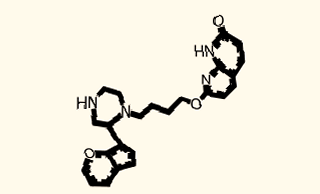 O=c1ccc2ccc(OCCCCN3CCNCC3c3ccc4cccoc3-4)nc2[nH]1